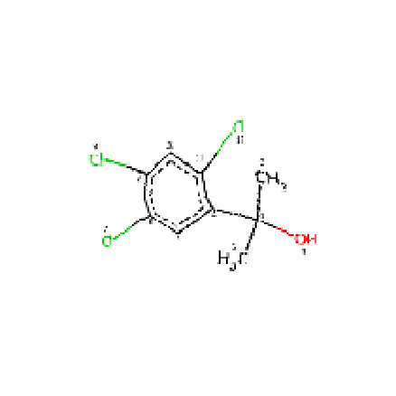 CC(C)(O)c1cc(Cl)c(Cl)cc1Cl